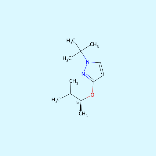 CC(C)[C@H](C)Oc1ccn(C(C)(C)C)n1